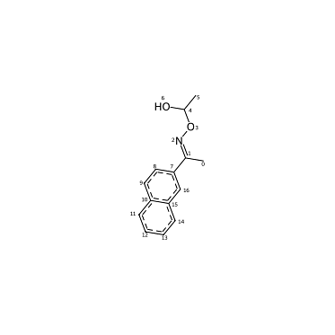 CC(=NOC(C)O)c1ccc2ccccc2c1